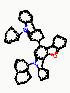 c1ccc(-n2c3ccccc3c3ccc(-c4cc5c(c6ccccc6n5-c5cccc6ccccc56)c5oc6ccccc6c45)cc32)cc1